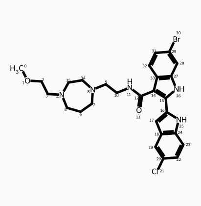 COCCN1CCCN(CCNC(=O)c2c(-c3cc4cc(Cl)ccc4[nH]3)[nH]c3cc(Br)ccc23)CC1